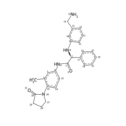 Cc1cc(NC(=O)[C@@H](Nc2cccc(CN)c2)c2ccccc2)ccc1N1CCCC1=O